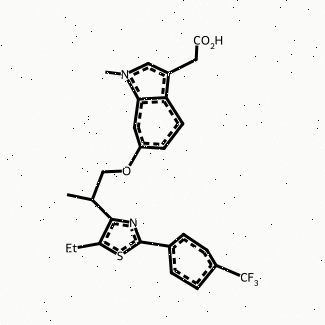 CCc1sc(-c2ccc(C(F)(F)F)cc2)nc1C(C)COc1ccc2c(CC(=O)O)cn(C)c2c1